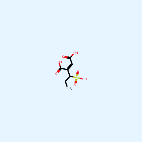 CCC(C(=CC(=O)O)C(=O)O)S(=O)(=O)O